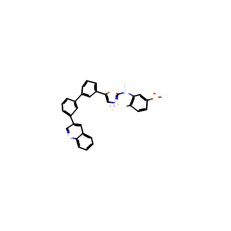 CCS(=O)(=O)c1ccc(OC)c(Nc2ncc(-c3cccc(-c4cccc(-c5cnc6ccccc6c5)c4)c3)o2)c1